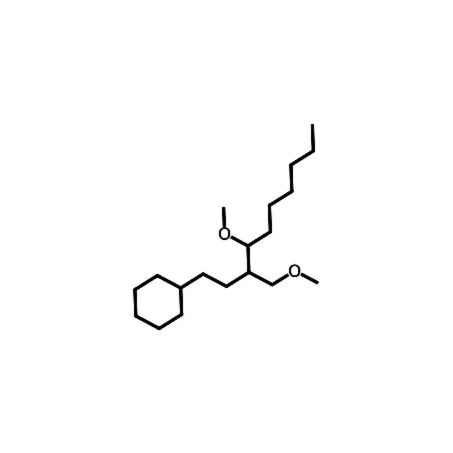 CCCCCCC(OC)C(CCC1CCCCC1)COC